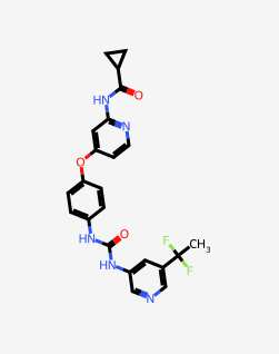 CC(F)(F)c1cncc(NC(=O)Nc2ccc(Oc3ccnc(NC(=O)C4CC4)c3)cc2)c1